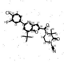 CC(C)(C)c1cc(-c2ccc(Cl)c(F)c2)nc2cc(C(=O)N3CCN(C#N)C(=O)C3(C)C)oc12